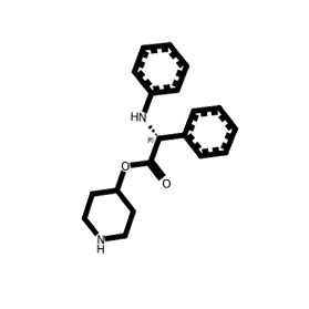 O=C(OC1CCNCC1)[C@H](Nc1ccccc1)c1ccccc1